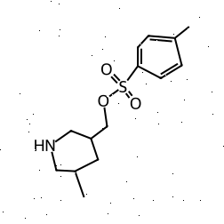 Cc1ccc(S(=O)(=O)OCC2CNCC(C)C2)cc1